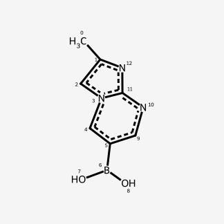 Cc1cn2cc(B(O)O)cnc2n1